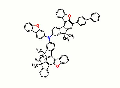 CC1(C)c2cc(N(c3ccc4c(c3)C(C)(C)c3c5c(c6oc7ccccc7c6c3-4)-c3ccccc3C5(C)C)c3ccc4c(c3)oc3ccccc34)ccc2-c2c1cc(-c1ccc(-c3ccccc3)cc1)c1oc3ccccc3c21